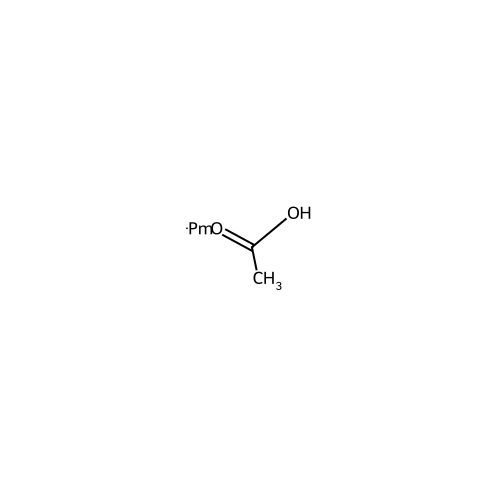 CC(=O)O.[Pm]